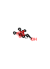 Cc1ccc([C@]23OC[C@](COCc4ccccc4)(O2)[C@@H](OCc2ccccc2)[C@H](OCc2ccccc2)[C@H]3OCc2ccccc2)cc1Cc1ccc(CCCCO)cc1